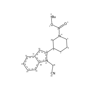 CC(C)(C)OC(=O)N1CCCC(c2cc3ccccc3n2CC#N)C1